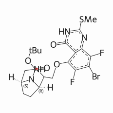 CSc1nc2c(F)c(Br)c(F)c(OCC3NC[C@@H]4CC[C@H]3N4C(=O)OC(C)(C)C)c2c(=O)[nH]1